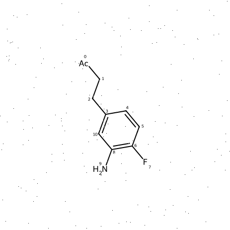 CC(=O)CCc1ccc(F)c(N)c1